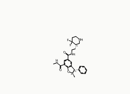 CNC(=O)c1cc(C(=O)NCC[C@H]2CNCCC2(F)F)cc2c1O[C@H](C)[C@H]2c1ccccc1